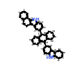 c1ccc2c(c1)ccc1c3cc(-c4c5ccccc5c(-c5ccc6[nH]c7ccccc7c6c5)c5ccccc45)ccc3[nH]c21